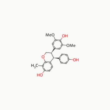 COc1cc([C@@H]2COc3c(ccc(O)c3C)[C@@H]2c2ccc(O)cc2)cc(OC)c1O